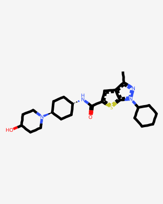 Cc1nn(C2CCCCC2)c2sc(C(=O)N[C@H]3CC[C@H](N4CCC(O)CC4)CC3)cc12